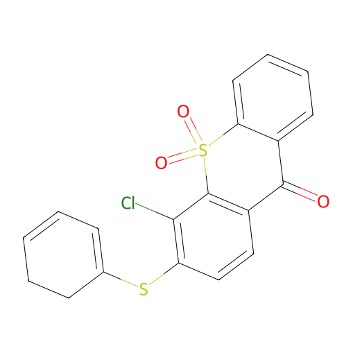 O=C1c2ccccc2S(=O)(=O)c2c1ccc(SC1=CC=CCC1)c2Cl